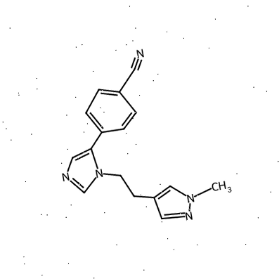 Cn1cc(CCn2cncc2-c2ccc(C#N)cc2)cn1